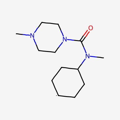 CN1CCN(C(=O)N(C)C2CC[CH]CC2)CC1